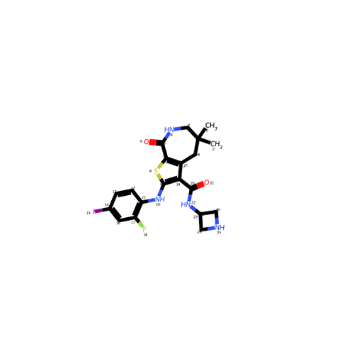 CC1(C)CNC(=O)c2sc(Nc3ccc(I)cc3F)c(C(=O)NC3CNC3)c2C1